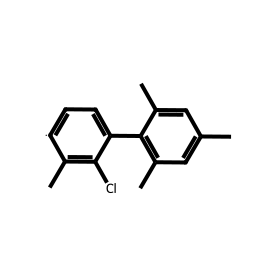 Cc1cc(C)c(-c2cc[c]c(C)c2Cl)c(C)c1